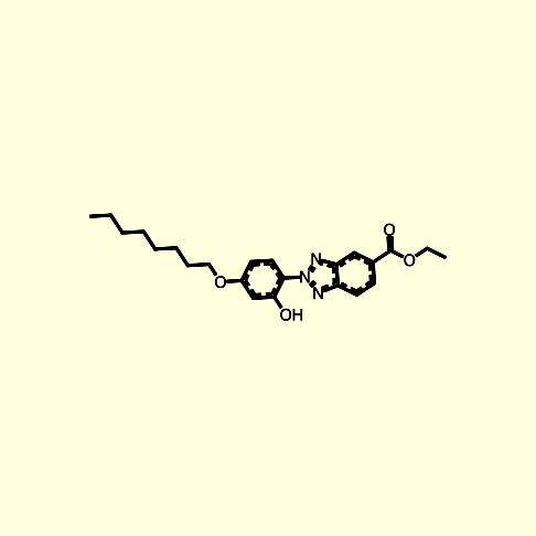 CCCCCCCCOc1ccc(-n2nc3ccc(C(=O)OCC)cc3n2)c(O)c1